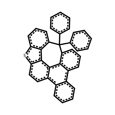 c1ccc(C2(c3ccccc3)c3cccc4sc5ccc6c7ccccc7c7cccc2c7c6c5c34)cc1